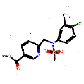 CCS(=O)(=O)N(Cc1ccc(C(=O)OC)cn1)c1ccc(Cl)c(C)c1